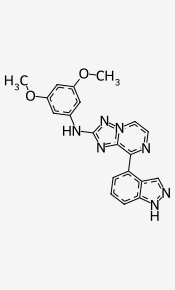 COc1cc(Nc2nc3c(-c4cccc5[nH]ncc45)nccn3n2)cc(OC)c1